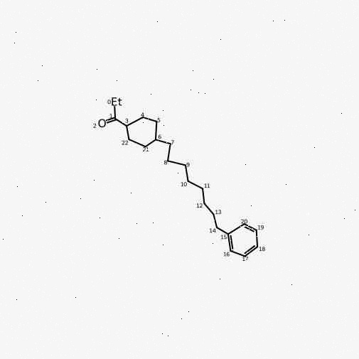 CCC(=O)C1CCC(CCCCCCCCc2ccccc2)CC1